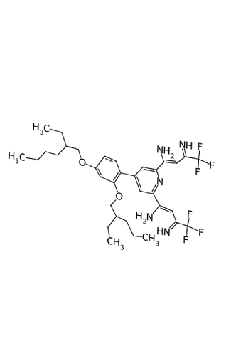 CCCCC(CC)COc1ccc(-c2cc(/C(N)=C/C(=N)C(F)(F)F)nc(/C(N)=C/C(=N)C(F)(F)F)c2)c(OCC(CC)CCC)c1